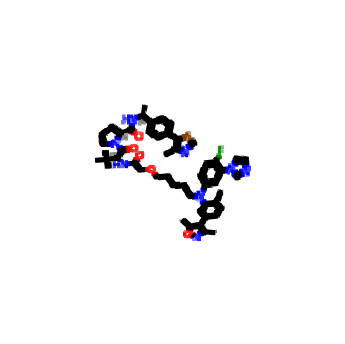 Cc1ccc(-c2c(C)noc2C)cc1N(CCCCCOCC(=O)N[C@H](C(=O)N1CCC[C@H]1C(=O)N[C@@H](C)c1ccc(-c2scnc2C)cc1)C(C)(C)C)c1ccc(F)c(-n2ccnc2)c1